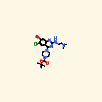 CN(C)CCNc1nc(N2CCN(C(=O)OC(C)(C)C)CC2)c2cc(Cl)c(Br)cc2n1